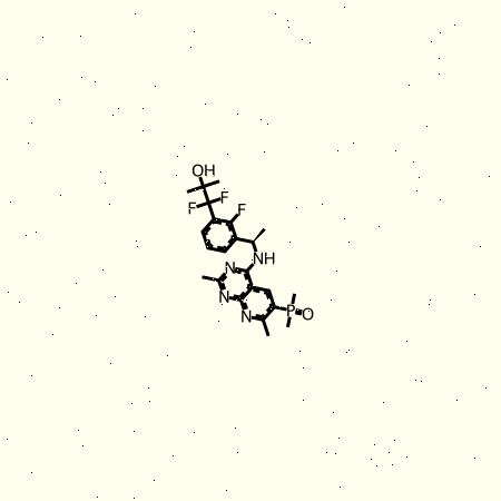 Cc1nc(N[C@H](C)c2cccc(C(F)(F)C(C)(C)O)c2F)c2cc(P(C)(C)=O)c(C)nc2n1